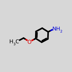 CCOC1=CCC(N)C=C1